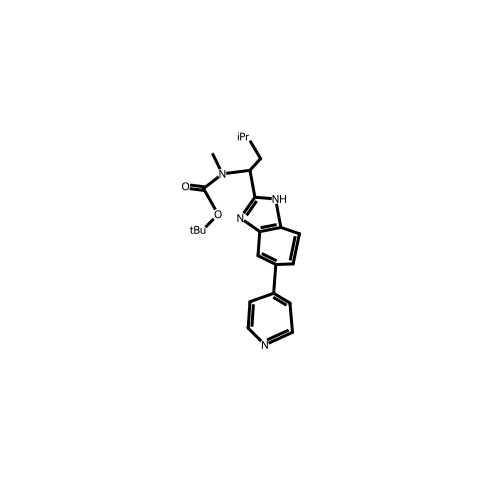 CC(C)CC(c1nc2cc(-c3ccncc3)ccc2[nH]1)N(C)C(=O)OC(C)(C)C